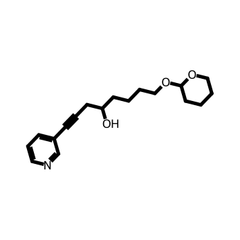 OC(CC#Cc1cccnc1)CCCCOC1CCCCO1